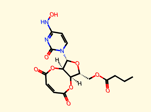 CCCC(=O)OC[C@H]1O[C@@H](n2ccc(NO)nc2=O)[C@@H]2OC(=O)/C=C\C(=O)O[C@@H]21